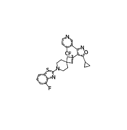 Fc1cccc2sc(N3CCC4(C=C(c5c(-c6cnccc6C(F)(F)F)noc5C5CC5)C4)CC3)nc12